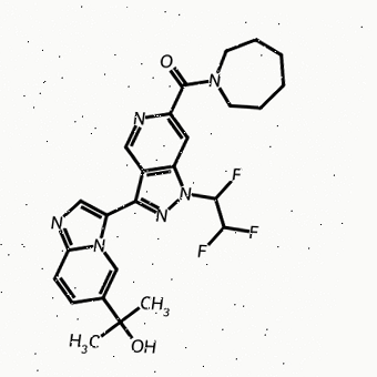 CC(C)(O)c1ccc2ncc(-c3nn(C(F)C(F)F)c4cc(C(=O)N5CCCCCC5)ncc34)n2c1